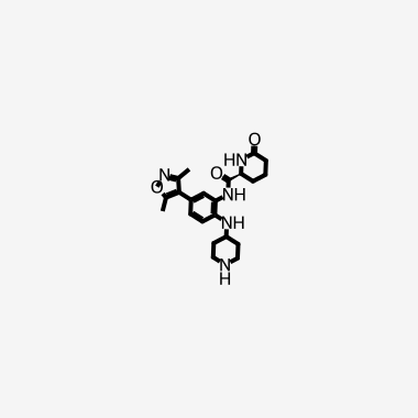 Cc1noc(C)c1-c1ccc(NC2CCNCC2)c(NC(=O)[C@@H]2CCCC(=O)N2)c1